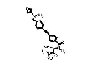 CN(C(=O)c1ccc(C#Cc2ccc(CN(N)C3COC3)cc2)cc1)[C@@H](C=O)C(=O)N(N)N=O